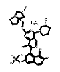 CCc1c(F)ccc2cc(O[Si](C(C)C)(C(C)C)C(C)C)cc(-c3ncc4c(N5CCC[C@@H](O)[C@H]5C)nc(OC[C@@]56CCCN5C[C@H](F)C6)nc4c3F)c12